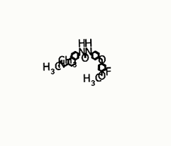 COc1ccc(Oc2ccc(NC(=O)Nc3ccc4c(c3)CCC(CN(C)C)C4)cc2)cc1F